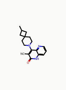 CC1CC2(CCN(c3c(C#N)c(=O)[nH]c4cccnc34)CC2)C1